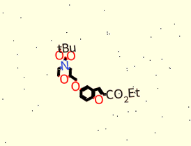 CCOC(=O)c1cc2cc(OCC3CN(C(=O)OC(C)(C)C)CCO3)ccc2o1